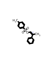 C/C(=C/OS(=O)(=O)c1ccc(C)cc1)c1ccccc1